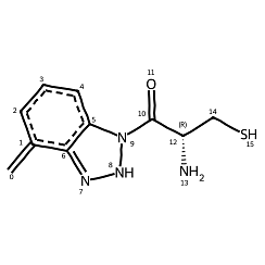 C=c1cccc2c1=NNN2C(=O)[C@@H](N)CS